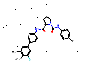 Cc1cc(-c2ccc(NC(=O)[C@H]3CCCN3C(=O)Nc3ccc(C(C)C)cc3)cc2)cc(F)c1C(=O)O